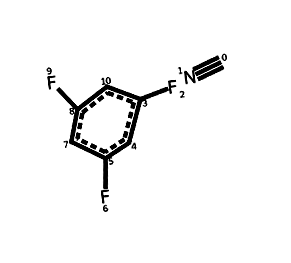 C#N.Fc1cc(F)cc(F)c1